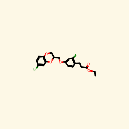 CCOC(=O)CCc1ccc(OCC2COc3ccc(Br)cc3O2)cc1F